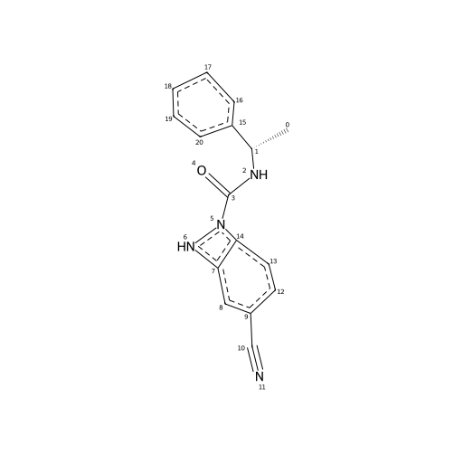 C[C@H](NC(=O)n1[nH]c2cc(C#N)ccc21)c1ccccc1